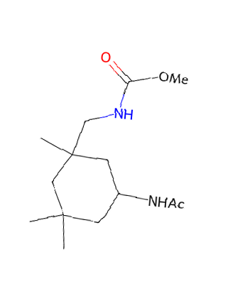 COC(=O)NCC1(C)CC(NC(C)=O)CC(C)(C)C1